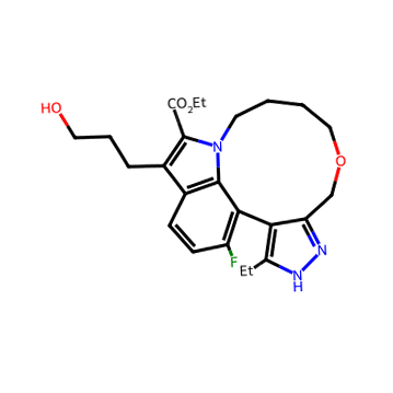 CCOC(=O)c1c(CCCO)c2ccc(F)c3c2n1CCCCOCc1n[nH]c(CC)c1-3